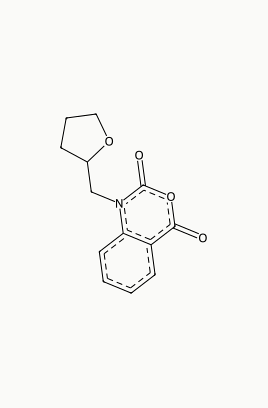 O=c1oc(=O)n(CC2CCCO2)c2ccccc12